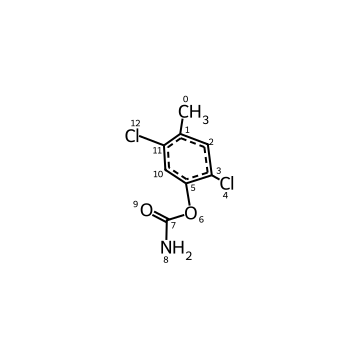 Cc1cc(Cl)c(OC(N)=O)cc1Cl